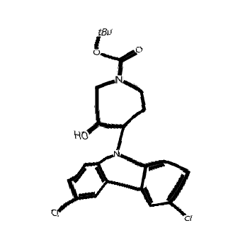 CC(C)(C)OC(=O)N1CCC(n2c3ccc(Cl)cc3c3cc(Cl)ccc32)C(O)C1